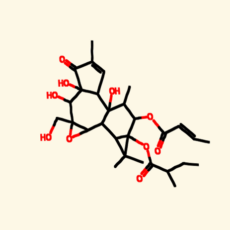 C/C=C/C(=O)OC1C(C)C2(O)C(C3OC3(CO)C(O)C3(O)C(=O)C(C)=CC32)C2C(C)(C)C12OC(=O)C(C)CC